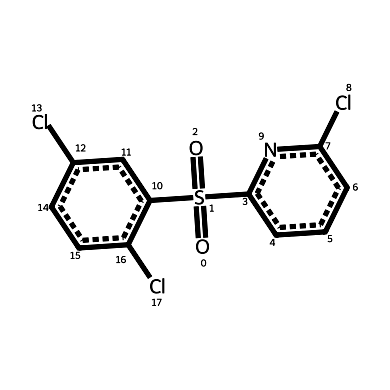 O=S(=O)(c1cccc(Cl)n1)c1cc(Cl)ccc1Cl